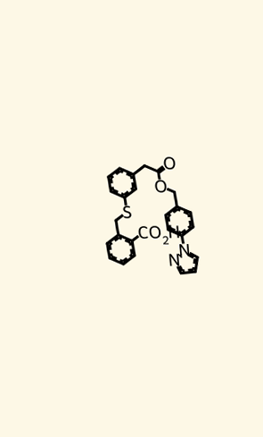 O=C(Cc1cccc(SCc2ccccc2C(=O)O)c1)OCc1ccc(-n2cccn2)cc1